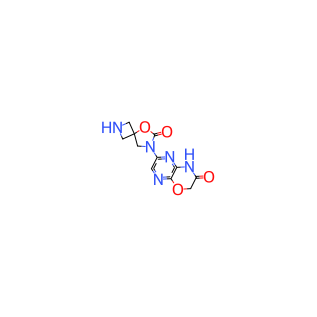 O=C1COc2ncc(N3CC4(CNC4)OC3=O)nc2N1